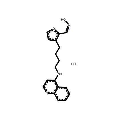 Cl.O/N=C\c1occc1CCCCNc1ccnc2ccccc12